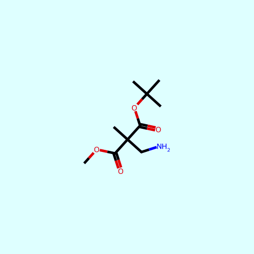 COC(=O)C(C)(CN)C(=O)OC(C)(C)C